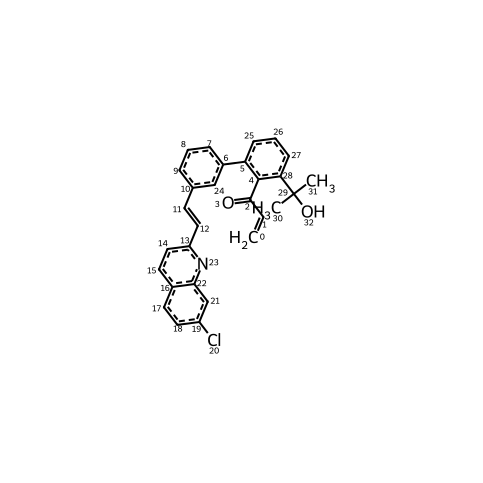 C=CC(=O)c1c(-c2cccc(/C=C/c3ccc4ccc(Cl)cc4n3)c2)cccc1C(C)(C)O